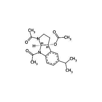 CC(=O)O[C@@]12CCN(C(C)=O)[C@@H]1N(C(C)=O)c1ccc(C(C)C)cc12